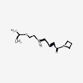 CC(C)OCCNC/C=C/C(=O)N1CCC1